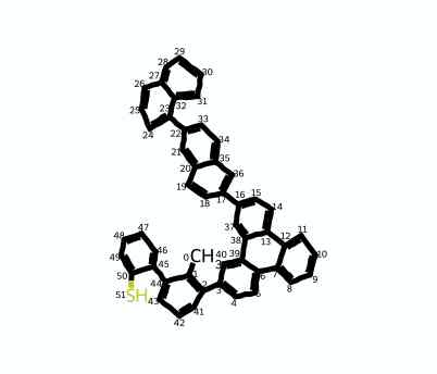 Cc1c(-c2ccc3c4ccccc4c4ccc(-c5ccc6cc(-c7cccc8ccccc78)ccc6c5)cc4c3c2)cccc1-c1ccccc1S